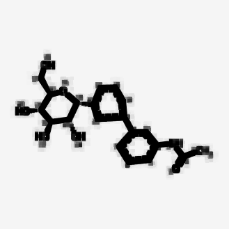 CC(=O)Nc1cccc(-c2cccc([C@H]3O[C@H](CO)[C@@H](O)[C@H](O)[C@H]3O)c2)c1